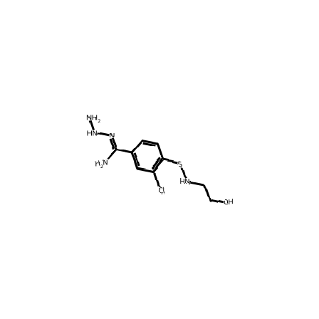 NN/N=C(\N)c1ccc(SNCCO)c(Cl)c1